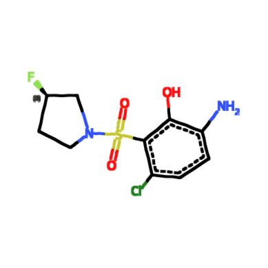 Nc1ccc(Cl)c(S(=O)(=O)N2CC[C@@H](F)C2)c1O